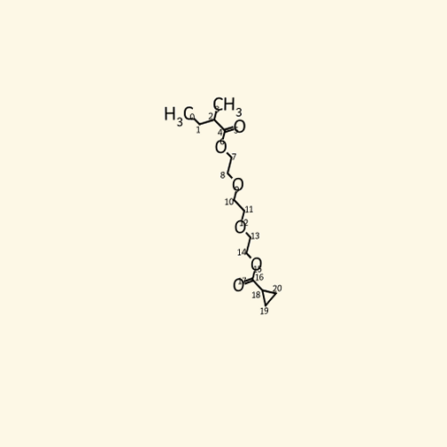 CCC(C)C(=O)OCCOCCOCCOC(=O)C1CC1